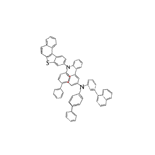 c1ccc(-c2ccc(N(c3cccc(-c4ccccc4N(c4ccc(-c5ccccc5)cc4)c4ccc5c(c4)sc4ccc6ccccc6c45)c3)c3cccc(-c4cccc5ccccc45)c3)cc2)cc1